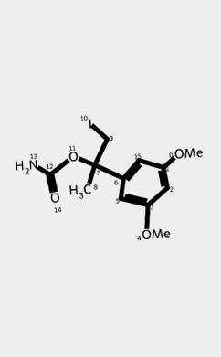 COc1cc(OC)cc(C(C)(CI)OC(N)=O)c1